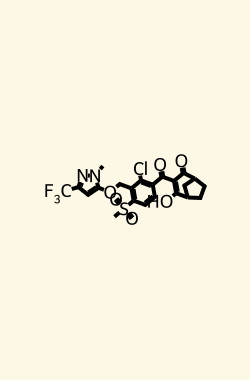 Cn1nc(C(F)(F)F)cc1OCc1c(S(C)(=O)=O)ccc(C(=O)C2=C(O)C3CCC(C3)C2=O)c1Cl